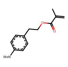 C=C(C)C(=O)OCCc1ccc(NC)cc1